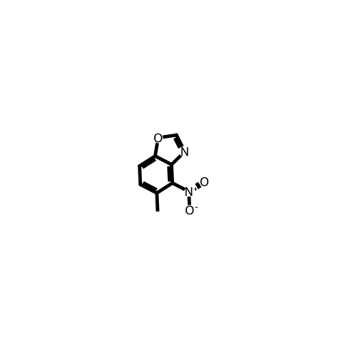 Cc1ccc2ocnc2c1[N+](=O)[O-]